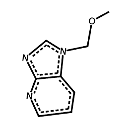 COCn1cnc2ncccc21